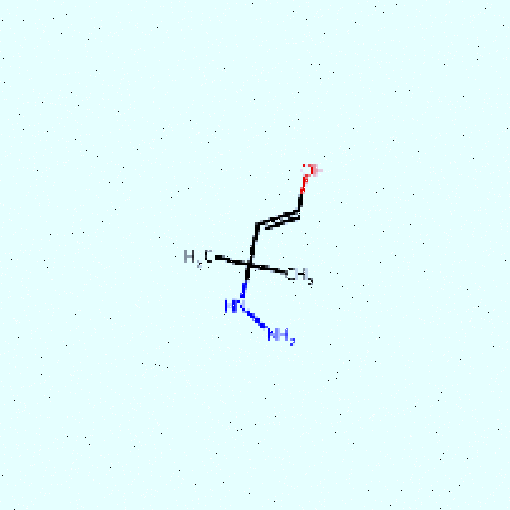 CC(C)(/C=C/O)NN